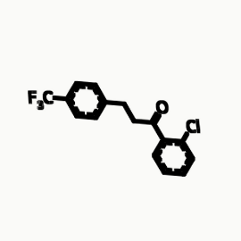 O=C(CCc1ccc(C(F)(F)F)cc1)c1ccccc1Cl